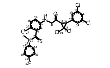 CN(C(=S)c1cc(NCC(=O)C2C(c3cc(Cl)cc(Cl)c3)C2(Cl)Cl)ccc1Cl)c1ccc(F)cc1